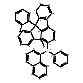 CCc1ccccc1C1(c2ccccc2C)C2=C(C=CCC2)c2ccc(N(c3ccccc3)c3cccc4ccccc34)cc21